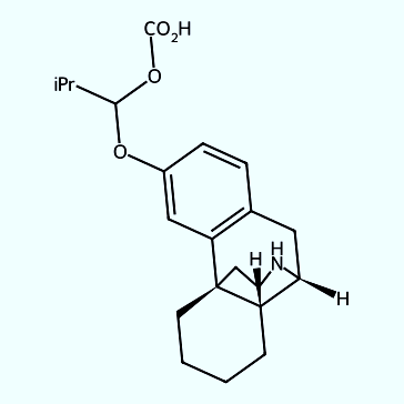 CC(C)C(OC(=O)O)Oc1ccc2c(c1)[C@@]13CCCC[C@H]1[C@@H](C2)NCC3